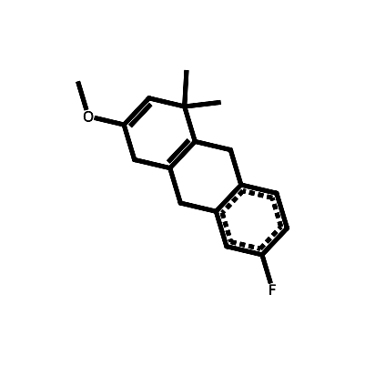 COC1=CC(C)(C)C2=C(C1)Cc1cc(F)ccc1C2